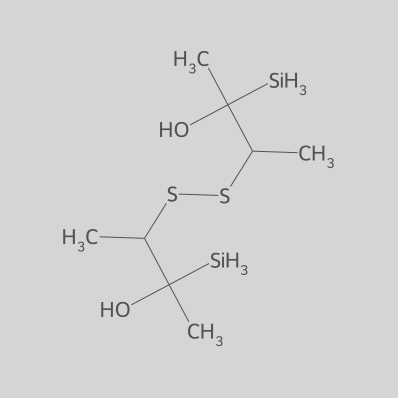 CC(SSC(C)C(C)(O)[SiH3])C(C)(O)[SiH3]